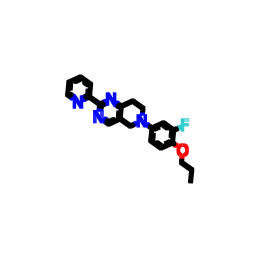 CCCOc1ccc(N2CCc3nc(-c4ccccn4)ncc3C2)cc1F